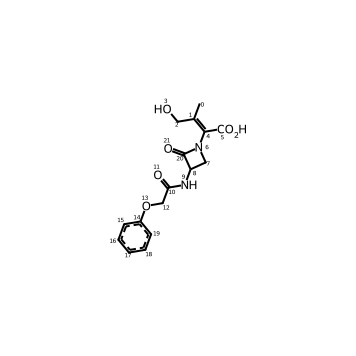 CC(CO)=C(C(=O)O)N1CC(NC(=O)COc2ccccc2)C1=O